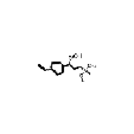 C=Cc1ccc(C(CC[Si](C)(OC)OC)OO)cc1